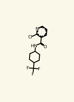 O=C(NC1CCC(C(F)(F)F)CC1)c1cccnc1Cl